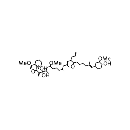 C=CC[C@H](/C=C(\C)C[C@H](C)CCCC(CC(C)C(O)(O)C(=C)C(=O)N1CCCCC1C(=C)OC)OC)C(=O)CCCC/C(C)=C/C1CC[C@@H](O)C(OC)C1